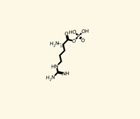 N=C(N)NCCC[C@H](N)C(=O)OP(=O)(O)O